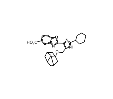 O=C(O)c1ccc2oc(-c3nc(C4CCCCC4)[nH]c3COC34CC5CC(CC(C5)C3)C4)nc2c1